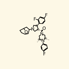 C[C@@H]1CN(C(=O)[C@@H]2CN(C3CC4CCC(C3)O4)C[C@H]2c2ccc(F)cc2F)C[C@H](C)N1c1ccc(F)cc1